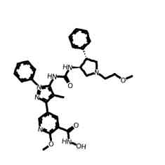 COCCN1C[C@@H](NC(=O)Nc2c(C)c(-c3cnc(OC)c(C(=O)NO)c3)nn2-c2ccccc2)[C@H](c2ccccc2)C1